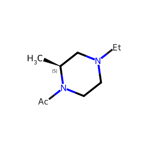 CCN1CCN(C(C)=O)[C@@H](C)C1